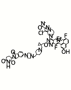 CCc1c(F)ccc2cc(O)cc(-c3ncc4c(N5CCCn6nc(C(=O)N(C)C)c(Cl)c6C5)nc(OCC5(CN6CCC(CN7CCN(c8ccc9c(c8)CN([C@@H]8CCC(=O)NC8=O)C9=O)CC7)CC6)CC5)nc4c3F)c12